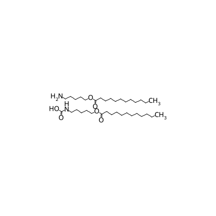 CCCCCCCCCCCC(=O)OCCCCCN.CCCCCCCCCCCC(=O)OCCCCCNC(=O)O